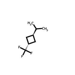 CC(C)[C@H]1C[C@H](C(F)(F)F)C1